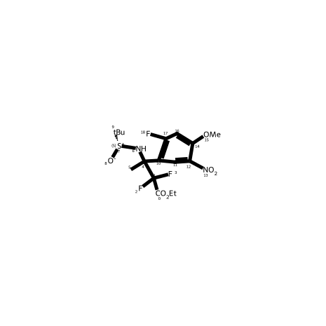 CCOC(=O)C(F)(F)C(C)(N[S@+]([O-])C(C)(C)C)c1cc([N+](=O)[O-])c(OC)cc1F